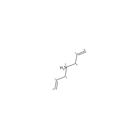 C=CC[SiH2]CC=C